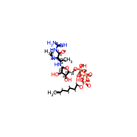 C=CCCCCCOP(=O)(O)OP(=O)(O)OP(=O)(O)OC[C@H]1O[C@@H](N/C(C)=C(\N=C/C)C(=O)NC(=N)N)C(O)C1O